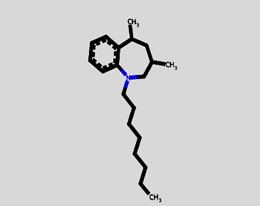 CCCCCCCCN1CC(C)CC(C)c2ccccc21